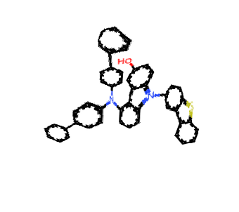 Oc1ccc2c(c1)c1c(N(c3ccc(-c4ccccc4)cc3)c3ccc(-c4ccccc4)cc3)cccc1n2-c1ccc2sc3ccccc3c2c1